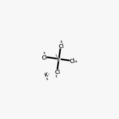 [Cl][Ir]([Cl])([Cl])[Cl].[K]